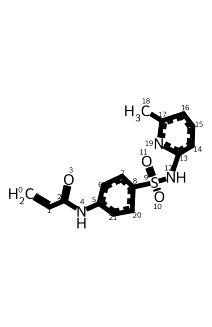 C=CC(=O)Nc1ccc(S(=O)(=O)Nc2cccc(C)n2)cc1